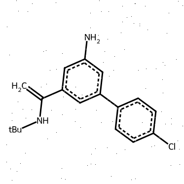 C=C(NC(C)(C)C)c1cc(N)cc(-c2ccc(Cl)cc2)c1